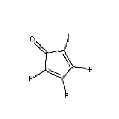 O=C1C(F)=C(F)C(F)=C1F